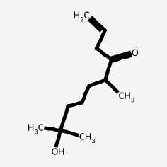 C=CCC(=O)C(C)CCCC(C)(C)O